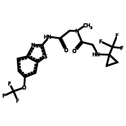 CN(CC(=O)Nc1nc2ccc(OC(F)(F)F)cc2s1)C(=O)CNC1(C(F)(F)F)CC1